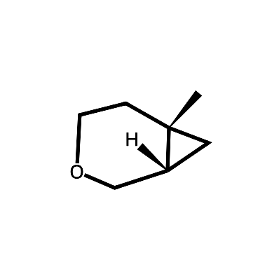 C[C@]12CCOC[C@H]1C2